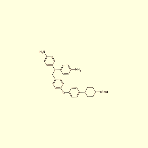 CCCCCC1CCC(c2ccc(Oc3ccc(CC(c4ccc(N)cc4)c4ccc(N)cc4)cc3)cc2)CC1